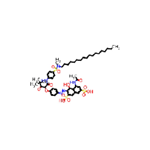 CCCCCCCCCCCCCCCCCCN(C)S(=O)(=O)c1ccc(NC(=O)C(Oc2ccc(/N=N/c3c(S(=O)(=O)O)cc4cc(S(=O)(=O)O)cc(NC(C)=O)c4c3O)cc2)C(=O)C(C)(C)C)cc1